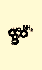 N[C@@H]1CCC[C@H](n2c3ccccc3c3sccc32)[C@H]1O